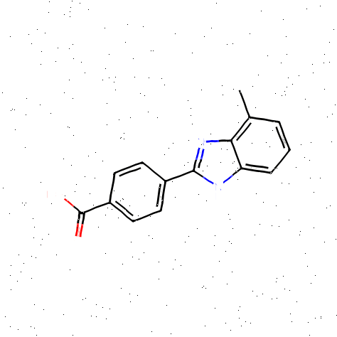 Cc1cccc2[nH]c(-c3ccc(C(=O)O)cc3)nc12